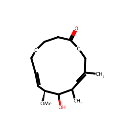 CO[C@H]1/C=C/CCCCC(=O)CC/C(C)=C\C(C)C1O